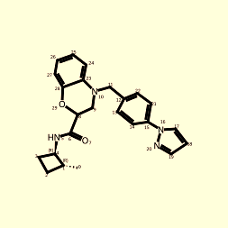 C[C@@H]1CC[C@H]1NC(=O)C1CN(Cc2ccc(-n3cccn3)cc2)c2ccccc2O1